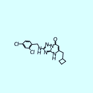 O=c1cc(CC2CCC2)[nH]c2nc(NCc3ccc(Cl)cc3Cl)nn12